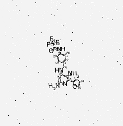 Cc1cc(CNc2nc(N)nc(-c3ccco3)c2N)ccc1NC(=O)C(F)(F)F